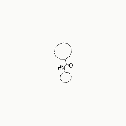 O=C(NC1CCCCCCC1)C1CCCCCCCCCC1